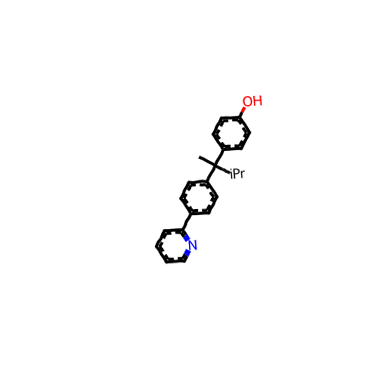 CC(C)C(C)(c1ccc(O)cc1)c1ccc(-c2ccccn2)cc1